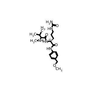 CNC(C(=O)N[C@@H](CCCNC(N)=O)C(=O)Nc1ccc(COC)cc1)C(C)C